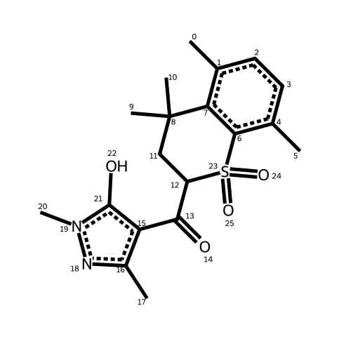 Cc1ccc(C)c2c1C(C)(C)CC(C(=O)c1c(C)nn(C)c1O)S2(=O)=O